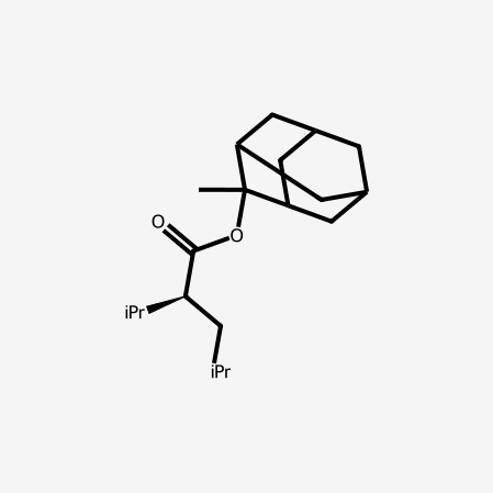 CC(C)C[C@H](C(=O)OC1(C)C2CC3CC(C2)CC1C3)C(C)C